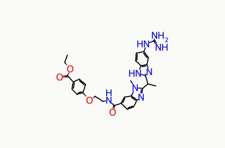 CCOC(=O)c1ccc(OCCNC(=O)c2ccc3nc(C(C)c4nc5cc(NC(=N)N)ccc5[nH]4)n(C)c3c2)cc1